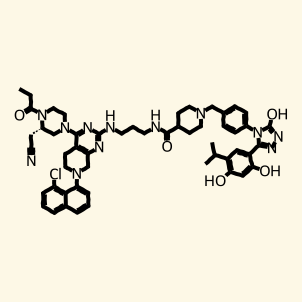 CCC(=O)N1CCN(c2nc(NCCCNC(=O)C3CCN(Cc4ccc(-n5c(O)nnc5-c5cc(C(C)C)c(O)cc5O)cc4)CC3)nc3c2CCN(c2cccc4cccc(Cl)c24)C3)C[C@@H]1CC#N